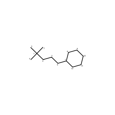 CC(C)(C)[CH]CCC1CCCCC1